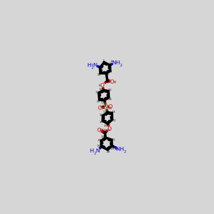 Nc1cc(N)cc(C(=O)Oc2ccc(S(=O)(=O)c3ccc(OC(=O)c4cc(N)cc(N)c4)cc3)cc2)c1